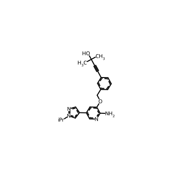 CC(C)n1cc(-c2cnc(N)c(OCc3cccc(C#CC(C)(C)O)c3)c2)cn1